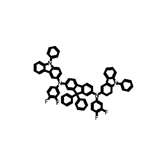 Fc1ccc(N(C2=Cc3c(n(-c4ccccc4)c4ccccc34)CC2)c2ccc3c(c2)C(c2ccccc2)(c2ccccc2)c2cc(N(c4ccc(F)c(F)c4)c4ccc5c(c4)c4ccccc4n5-c4ccccc4)ccc2-3)cc1F